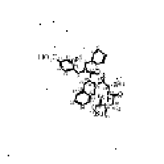 CCC[C@H](c1ccccc1)N(Cc1ccc(C(=O)O)cc1)C(=O)[C@@H]1Cc2ccccc2CN1C(=O)[C@@H](NC(=O)[C@H](C)N(C)C(=O)OC(C)(C)C)C(C)(C)C